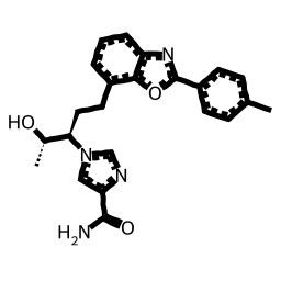 Cc1ccc(-c2nc3cccc(CC[C@H]([C@H](C)O)n4cnc(C(N)=O)c4)c3o2)cc1